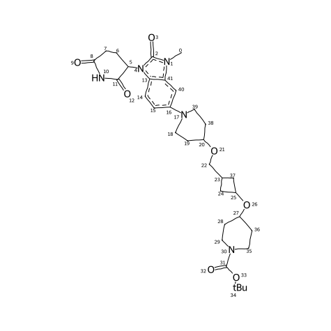 Cn1c(=O)n(C2CCC(=O)NC2=O)c2ccc(N3CCC(OCC4CC(OC5CCN(C(=O)OC(C)(C)C)CC5)C4)CC3)cc21